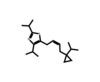 CC(C)c1nc(C(C)C)c(C/C=C\CC2(C(C)C)CC2)s1